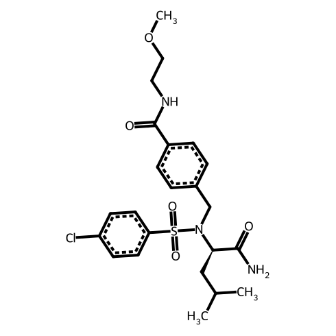 COCCNC(=O)c1ccc(CN([C@H](CC(C)C)C(N)=O)S(=O)(=O)c2ccc(Cl)cc2)cc1